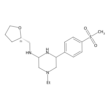 CCN1CC(NC[C@@H]2CCCO2)NC(c2ccc(S(C)(=O)=O)cc2)C1